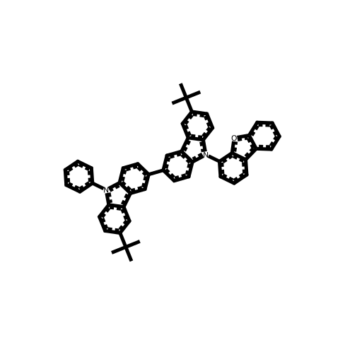 CC(C)(C)c1ccc2c(c1)c1cc(-c3ccc4c(c3)c3cc(C(C)(C)C)ccc3n4-c3cccc4c3oc3ccccc34)ccc1n2-c1ccccc1